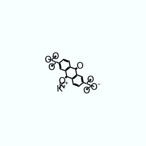 O=C1c2ccc(S(=O)(=O)[O-])cc2C(=O)c2ccc(S(=O)(=O)[O-])cc21.[K+].[K+]